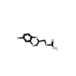 CC(=O)OCC1COc2cc(F)ccc2O1